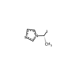 C[C@@H](I)n1ccnc1